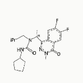 CC(C)CN(C(=O)NC1CCCC1)[C@H](C)c1nn(C)c(=O)c2cc(F)c(F)cc12